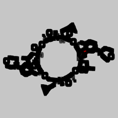 CC(C)C[C@H]1C(=O)O[C@H](C)C(=O)N(C)[C@@H](CC2CC2)C(=O)O[C@H](Cc2ccc(N3CCOCC3)cc2)C(=O)N(C)[C@@H](CC(C)C)C(=O)O[C@H](C)C(=O)N(C)[C@@H](CC2CC2)CO[C@H](Cc2ccc(N3CCOCC3)cc2)C(=O)N1C